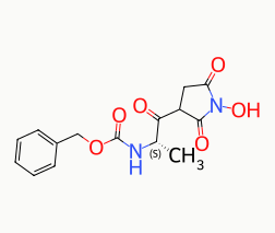 C[C@H](NC(=O)OCc1ccccc1)C(=O)C1CC(=O)N(O)C1=O